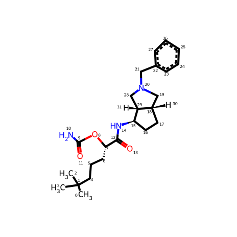 CC(C)(C)CCC[C@H](OC(N)=O)C(=O)N[C@@H]1CC[C@H]2CN(Cc3ccccc3)C[C@H]21